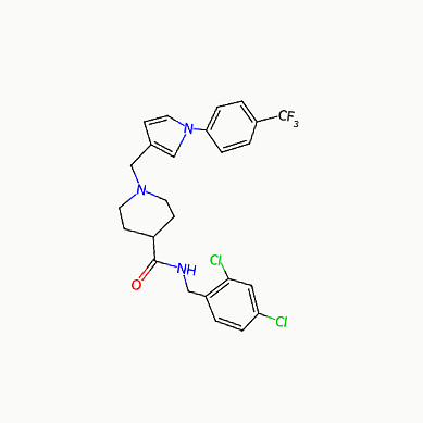 O=C(NCc1ccc(Cl)cc1Cl)C1CCN(Cc2ccn(-c3ccc(C(F)(F)F)cc3)c2)CC1